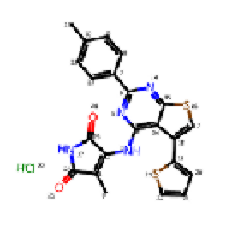 CC1=C(Nc2nc(-c3ccc(C)cc3)nc3scc(-c4cccs4)c23)C(=O)NC1=O.Cl